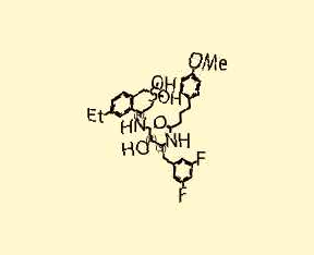 CCc1ccc2c(c1)[C@@H](NC[C@@H](O)[C@H](Cc1cc(F)cc(F)c1)NC(=O)CCCc1ccc(OC)cc1)CS(O)(O)C2